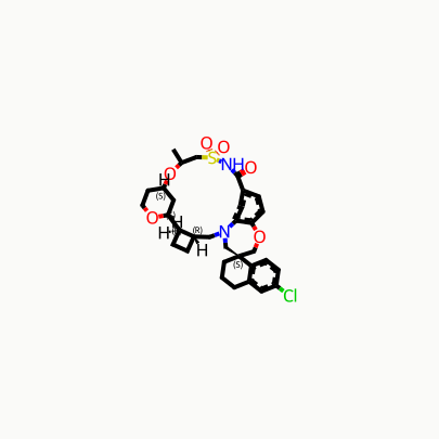 CC1CS(=O)(=O)NC(=O)c2ccc3c(c2)N(C[C@@H]2CC[C@H]2[C@@H]2C[C@H](CCO2)O1)C[C@@]1(CCCc2cc(Cl)ccc21)CO3